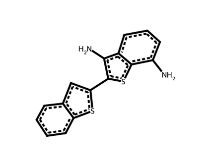 Nc1c(-c2cc3ccccc3s2)sc2c(N)cccc12